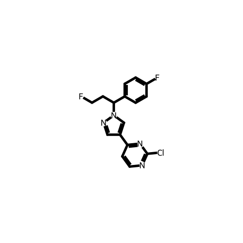 FCCC(c1ccc(F)cc1)n1cc(-c2ccnc(Cl)n2)cn1